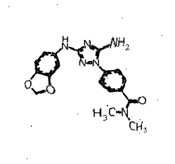 CN(C)C(=O)c1ccc(-n2nc(Nc3ccc4c(c3)OCO4)nc2N)cc1